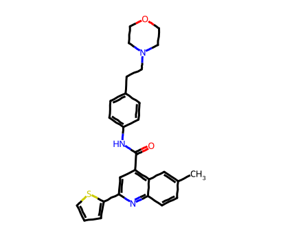 Cc1ccc2nc(-c3cccs3)cc(C(=O)Nc3ccc(CCN4CCOCC4)cc3)c2c1